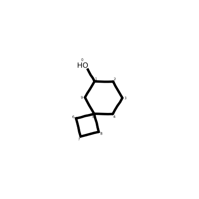 OC1CCCC2(CCC2)C1